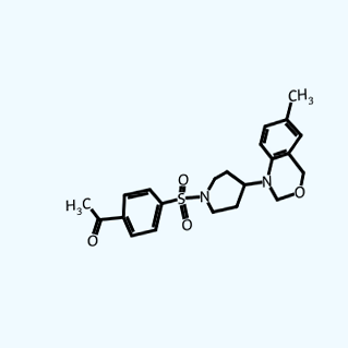 CC(=O)c1ccc(S(=O)(=O)N2CCC(N3COCc4cc(C)ccc43)CC2)cc1